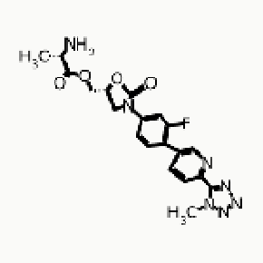 C[C@H](N)C(=O)OC[C@H]1CN(c2ccc(-c3ccc(-c4nnnn4C)nc3)c(F)c2)C(=O)O1